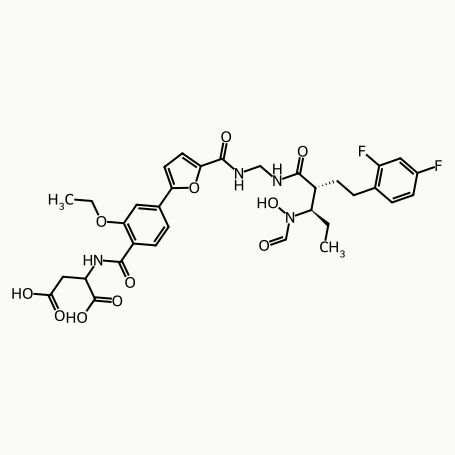 CCOc1cc(-c2ccc(C(=O)NCNC(=O)[C@H](CCc3ccc(F)cc3F)[C@@H](CC)N(O)C=O)o2)ccc1C(=O)NC(CC(=O)O)C(=O)O